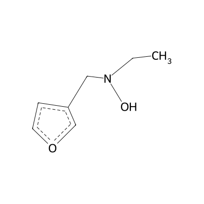 CCN(O)Cc1ccoc1